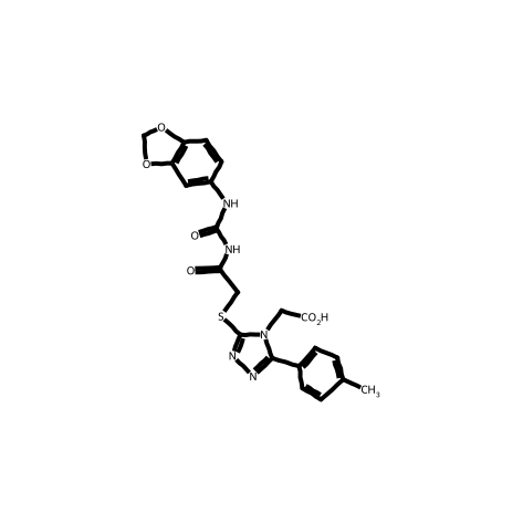 Cc1ccc(-c2nnc(SCC(=O)NC(=O)Nc3ccc4c(c3)OCO4)n2CC(=O)O)cc1